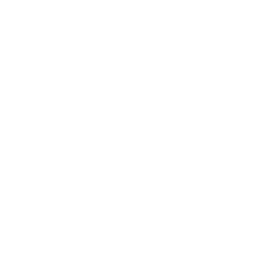 C=CCS(=O)(=O)Cc1ccc(S(C)(=O)=O)cc1